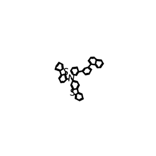 c1cc(-c2cccc(N(c3ccc4c(c3)sc3ccccc34)c3cccc4c3sc3ccccc34)c2)cc(-c2cccc3ccccc23)c1